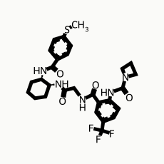 CSc1ccc(C(=O)N[C@H]2CCCC[C@H]2NC(=O)CNC(=O)c2cc(C(F)(F)F)ccc2NC(=O)N2CCC2)cc1